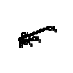 CCCCCCCCCCCCCCCC(C)[n+]1cc[nH]c1C(C)CCCCC